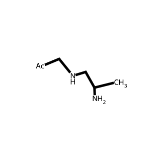 CC(=O)CNCC(C)N